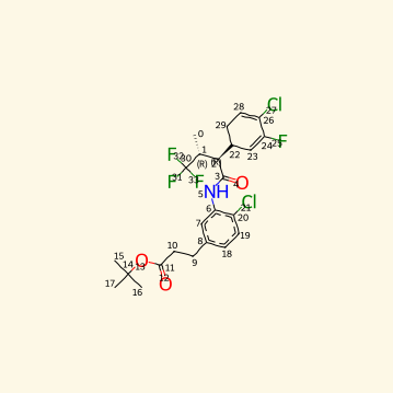 C[C@H]([C@H](C(=O)Nc1cc(CCC(=O)OC(C)(C)C)ccc1Cl)C1C=C(F)C(Cl)=CC1)C(F)(F)F